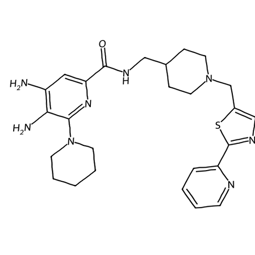 Nc1cc(C(=O)NCC2CCN(Cc3cnc(-c4ccccn4)s3)CC2)nc(N2CCCCC2)c1N